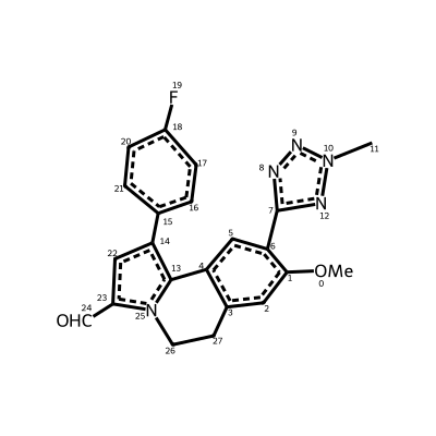 COc1cc2c(cc1-c1nnn(C)n1)-c1c(-c3ccc(F)cc3)cc(C=O)n1CC2